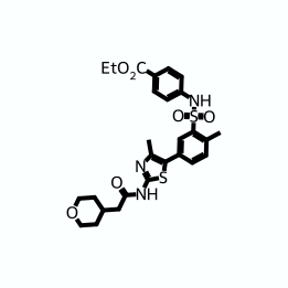 CCOC(=O)c1ccc(NS(=O)(=O)c2cc(-c3sc(NC(=O)CC4CCOCC4)nc3C)ccc2C)cc1